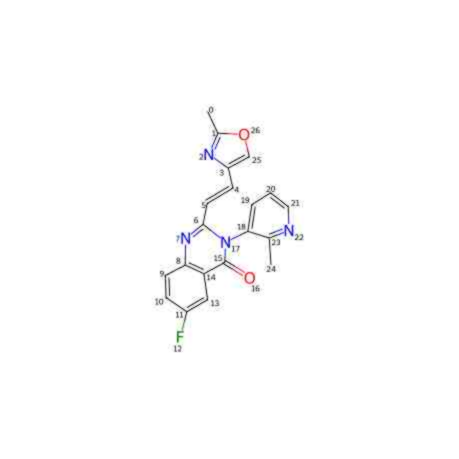 Cc1nc(/C=C/c2nc3ccc(F)cc3c(=O)n2-c2cccnc2C)co1